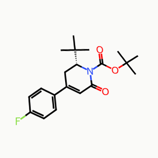 CC(C)(C)OC(=O)N1C(=O)C=C(c2ccc(F)cc2)C[C@@H]1C(C)(C)C